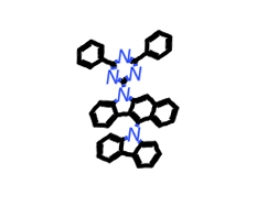 c1ccc(-c2nc(-c3ccccc3)nc(-n3c4ccccc4c4c(-n5c6ccccc6c6ccccc65)c5ccccc5cc43)n2)cc1